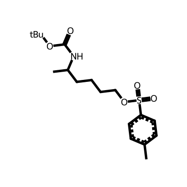 Cc1ccc(S(=O)(=O)OCCCCC(C)NC(=O)OC(C)(C)C)cc1